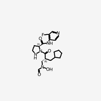 O=CN(O)C[C@@H](CC1CCCC1)C(=O)N1NCC[C@H]1C(=O)Nc1ccncc1F